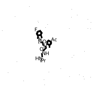 CC(=O)c1ccc(N(CC(=O)NCCNC(C)C)CC(=O)N(C)N2Cc3ccc(F)cc3C2)c(C)c1